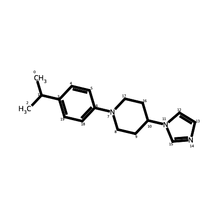 CC(C)c1ccc(N2CCC(n3ccnc3)CC2)cc1